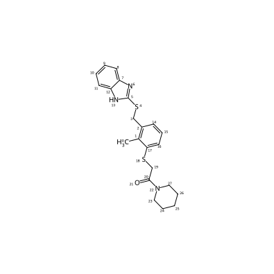 Cc1c(CSc2nc3ccccc3[nH]2)cccc1SCC(=O)N1CCCCC1